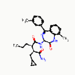 Cc1cccc(C2=N[C@H](NC(=O)[C@H](CCC(F)(F)F)[C@H](CC3CC3)C(N)=O)C(=O)Nc3c(C)cccc32)c1